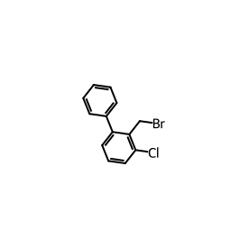 Clc1cccc(-c2ccccc2)c1CBr